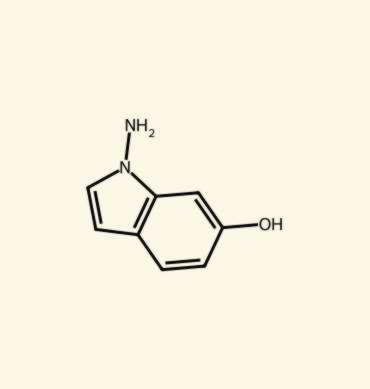 Nn1ccc2ccc(O)cc21